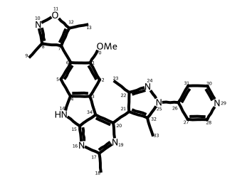 COc1cc2c(cc1-c1c(C)noc1C)[nH]c1nc(C)nc(-c3c(C)nn(-c4ccncc4)c3C)c12